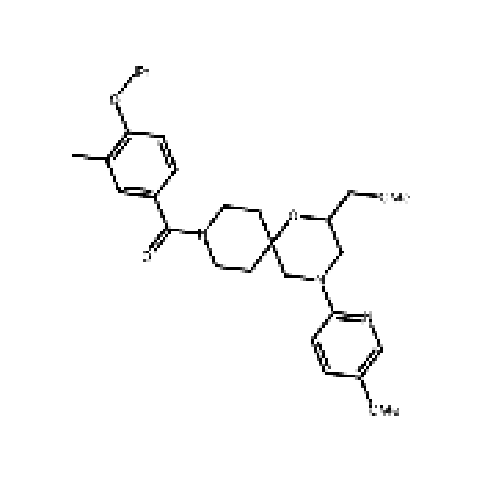 COCC1CN(c2ccc(OC)cn2)CC2(CCN(C(=O)c3ccc(OC(C)C)c(C)c3)CC2)O1